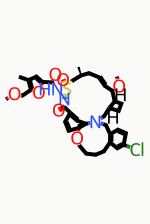 COCc1oc(C(=O)NS2(=O)=NC(=O)c3ccc4c(c3)N(Cc3ccc(Cl)cc3CCCCO4)C[C@@H]3CC[C@H]3[C@@H](OC)/C=C/C[C@H](C)C2)cc1C